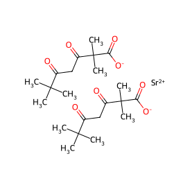 CC(C)(C)C(=O)CC(=O)C(C)(C)C(=O)[O-].CC(C)(C)C(=O)CC(=O)C(C)(C)C(=O)[O-].[Sr+2]